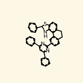 c1ccc(-c2cc(-c3ccccc3)nc(-c3ccc4c(c3)-c3c(ccc5c3NC(c3ccccc3)S5)CC4)n2)cc1